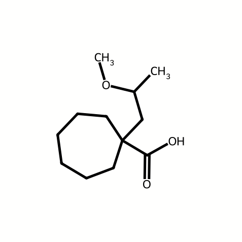 COC(C)CC1(C(=O)O)CCCCCC1